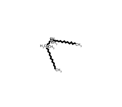 CCCCCCCCCCCCCC[N+](C)(C)CCC[N+](C)(C)CCCCCCCCCCCCCC